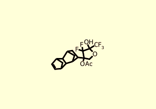 CC(=O)OC1(C2CC3CC2C2C4C=CC(C4)C32)COC(O)(C(F)(F)F)C1(F)F